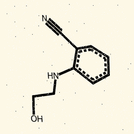 N#Cc1ccccc1NCCO